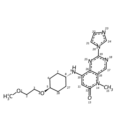 COCCO[C@H]1CC[C@H](Nc2cc(=O)n(C)c3cnc(-n4ccnc4)nc23)CC1